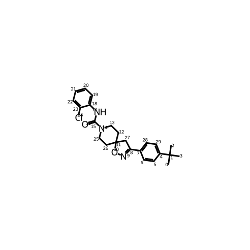 CC(C)(C)c1ccc(C2=NOC3(CCN(C(=O)Nc4ccccc4Cl)CC3)C2)cc1